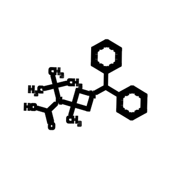 CC(C)(C)N(C(=O)O)C1(C)CN(C(c2ccccc2)c2ccccc2)C1